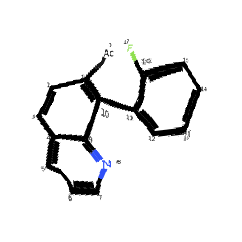 CC(=O)c1ccc2cccnc2c1-c1ccccc1F